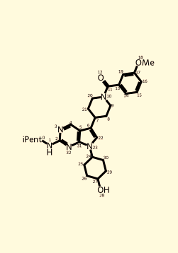 CCCC(C)Nc1ncc2c(C3CCN(C(=O)c4cccc(OC)c4)CC3)cn(C3CCC(O)CC3)c2n1